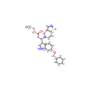 CCOC(=O)CC(c1c[nH]c2cc(OCc3ccccc3)ccc12)N1C=Cc2sncc2C1